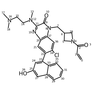 C=CC(=O)N1CC(Cn2c(=O)c(N(C)CCN(C)C)nc3cc(-c4cc(O)cc5ccccc45)c(Cl)cc32)C1